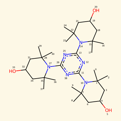 CC1(C)CC(O)CC(C)(C)N1c1nc(N2C(C)(C)CC(O)CC2(C)C)nc(N2C(C)(C)CC(O)CC2(C)C)n1